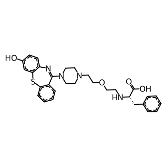 O=C(O)[C@H](Cc1ccccc1)NCCOCCN1CCN(C2=Nc3ccc(O)cc3Sc3ccccc32)CC1